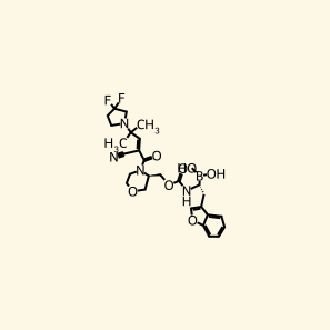 CC(C)(C=C(C#N)C(=O)N1CCOC[C@@H]1COC(=O)N[C@@H](Cc1coc2ccccc12)B(O)O)N1CCC(F)(F)C1